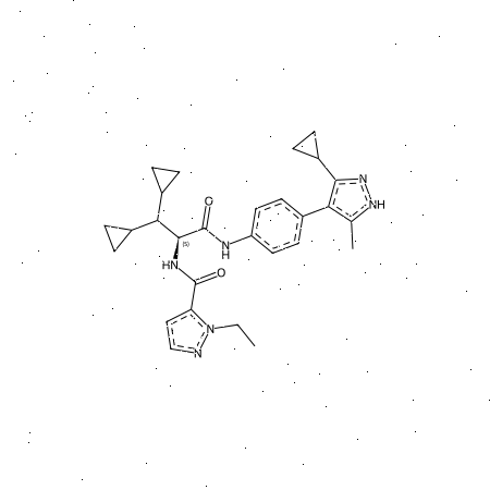 CCn1nccc1C(=O)N[C@H](C(=O)Nc1ccc(-c2c(C3CC3)n[nH]c2C)cc1)C(C1CC1)C1CC1